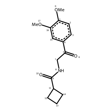 COc1ccc(C(=O)CNC(=O)C2CCC2)cc1OC